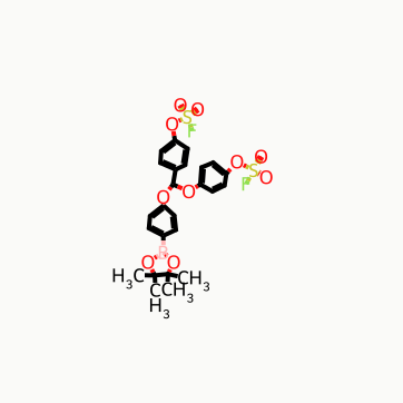 CC1(C)OB(c2ccc(OC(Oc3ccc(OS(=O)(=O)F)cc3)c3ccc(OS(=O)(=O)F)cc3)cc2)OC1(C)C